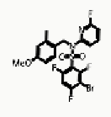 COc1ccc(CN(c2cccc(F)n2)S(=O)(=O)c2c(F)cc(F)c(Br)c2F)c(C)c1